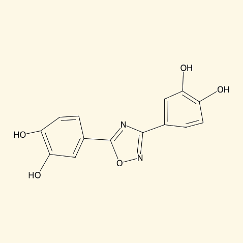 Oc1ccc(-c2noc(-c3ccc(O)c(O)c3)n2)cc1O